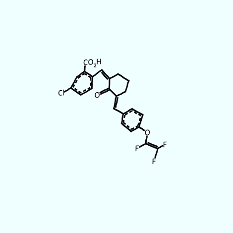 O=C1/C(=C\c2ccc(Cl)cc2C(=O)O)CCC/C1=C\c1ccc(OC(F)=C(F)F)cc1